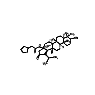 CC(C)C1=C2[C@H]3CC[C@@H]4[C@@]5(C)CC[C@H](O)C(C)(C)[C@@H]5CC[C@@]4(C)[C@]3(C)CC[C@@]2(NC(=O)CN2CCCC2)CC1=O